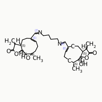 C=C1C(=O)O[C@@H]2[C@H](O)[C@@H](C)CC/C=C(/C=N/CCCC/N=C\C3=C\CC[C@@]4(C)O[C@H]4[C@H]4OC(=O)C(=C)[C@@H]4CC3)CC[C@@H]12